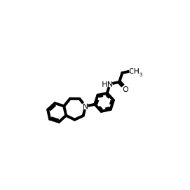 CCC(=O)Nc1cccc(N2CCC3C=CC=CC3CC2)c1